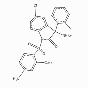 COc1cc(N)ccc1S(=O)(=O)N1C(=O)C(NC(C)=O)(c2ccccc2Cl)c2cc(Cl)ccc21